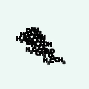 CC(C)COC(=O)NCc1cc(C(C)C)c2c(c1O)C(=O)C1=C(O)[C@]3(O)C(=O)C(C(N)=O)=C(O)[C@H](N(C)C)[C@@H]3C[C@@H]1C2